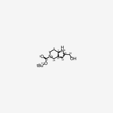 CC(C)(C)OC(=O)N1CCc2[nH]c(CO)cc2C1